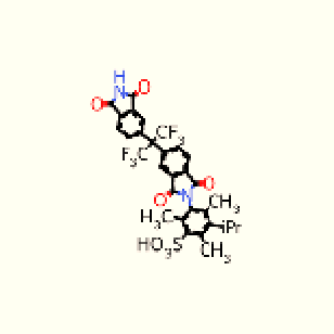 Cc1c(C(C)C)c(C)c(S(=O)(=O)O)c(C)c1N1C(=O)c2ccc(C(c3ccc4c(c3)C(=O)NC4=O)(C(F)(F)F)C(F)(F)F)cc2C1=O